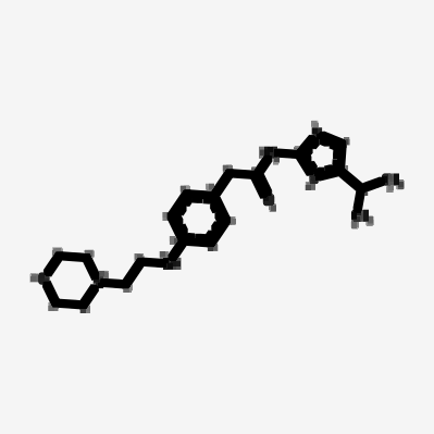 CC(C)c1cnc(NC(=O)Cc2ccc(NCCN3CCOCC3)cc2)s1